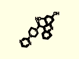 O=C(c1c2ccccc2nc2cc(O)cc(O)c12)N1CCN(c2cnccn2)CC1